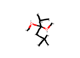 COC(CC(C)(C)C)(OC)C(C)C